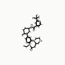 CCN1C(=O)CC2COCCN2c2cc(C3CC(NC(=O)c4ccnc(C(C)(F)F)c4)CCC3C)cnc21